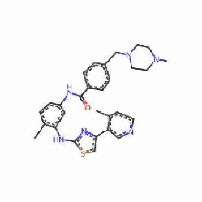 Cc1ccc(NC(=O)c2ccc(CN3CCN(C)CC3)cc2)cc1Nc1nc(-c2cnccc2C)cs1